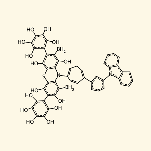 Bc1c(O)c2c(c(O)c1-c1c(O)c(O)c(O)c(O)c1O)Sc1c(O)c(-c3c(O)c(O)c(O)c(O)c3O)c(O)c(B)c1N2C1=CCC=C(c2cccc(-n3c4ccccc4c4ccccc43)c2)C=C1